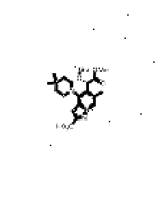 COC(=O)[C@@H](OC(C)(C)C)c1c(C)cn2nc(C(=O)O)cc2c1N1CCC(C)(C)CC1